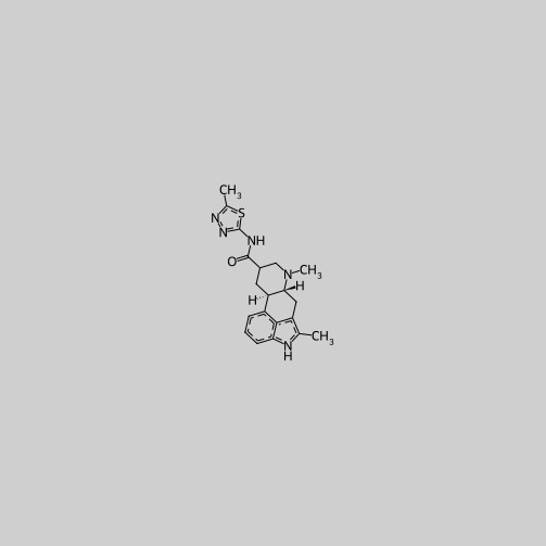 Cc1nnc(NC(=O)C2C[C@@H]3c4cccc5[nH]c(C)c(c45)C[C@H]3N(C)C2)s1